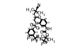 CC(C)(C#N)C[C@@H]1CN(S(=O)(=O)c2ccc(F)c(C(F)(F)F)c2)c2cc(NC(=O)OC(C)(C)C(F)(F)F)ccc2O1